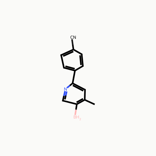 Bc1cnc(-c2ccc(C#N)cc2)cc1C